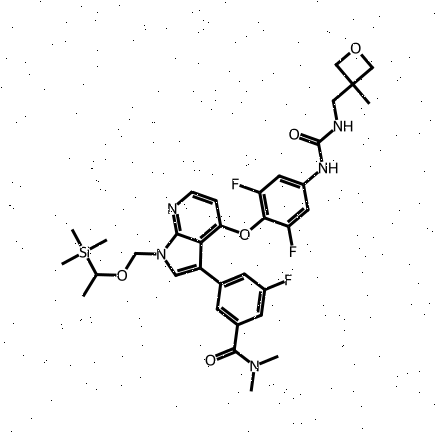 CC(OCn1cc(-c2cc(F)cc(C(=O)N(C)C)c2)c2c(Oc3c(F)cc(NC(=O)NCC4(C)COC4)cc3F)ccnc21)[Si](C)(C)C